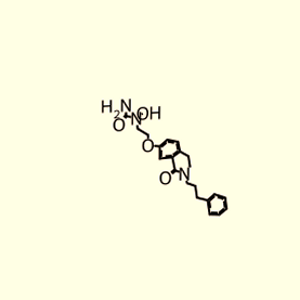 NC(=O)N(O)CCOc1ccc2c(c1)C(=O)N(CCCc1ccccc1)CC2